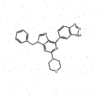 c1ccc(Cn2cnc3c(-c4ccc5nn[nH]c5c4)nc(N4CCOCC4)nc32)cc1